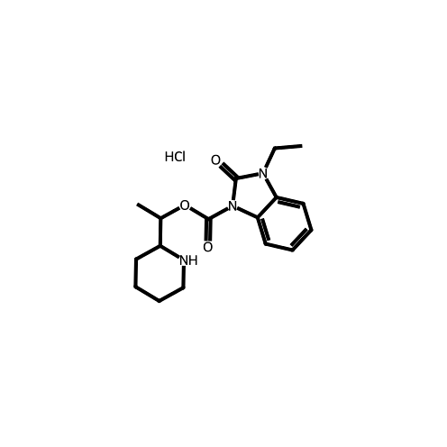 CCn1c(=O)n(C(=O)OC(C)C2CCCCN2)c2ccccc21.Cl